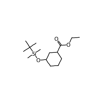 CCOC(=O)C1CCCC(O[Si](C)(C)C(C)(C)C)C1